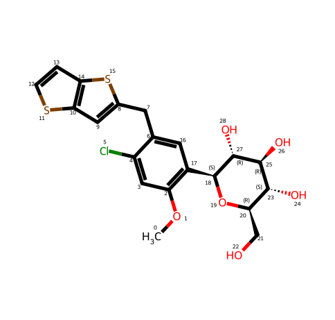 COc1cc(Cl)c(Cc2cc3sccc3s2)cc1[C@@H]1O[C@H](CO)[C@@H](O)[C@H](O)[C@H]1O